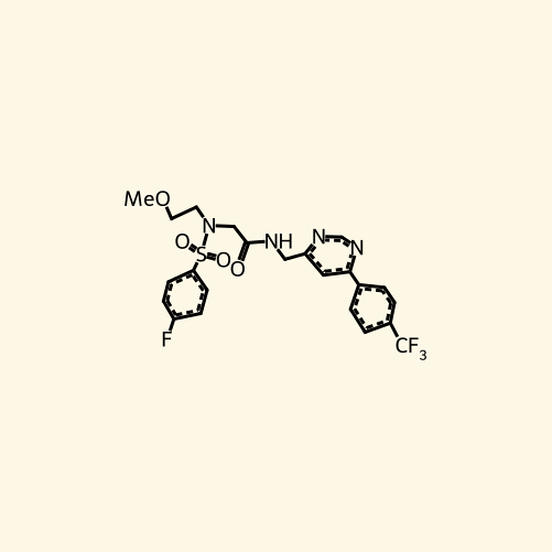 COCCN(CC(=O)NCc1cc(-c2ccc(C(F)(F)F)cc2)ncn1)S(=O)(=O)c1ccc(F)cc1